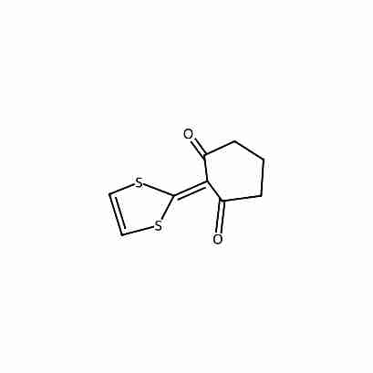 O=C1CCCC(=O)C1=C1SC=CS1